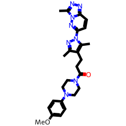 COc1ccc(N2CCN(C(=O)CCc3c(C)nn(-c4ccc5nnc(C)n5n4)c3C)CC2)cc1